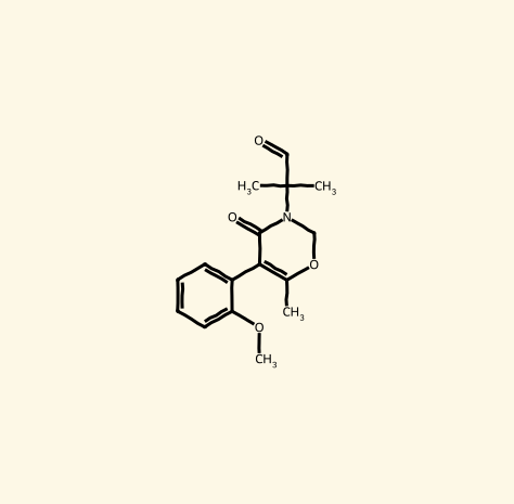 COc1ccccc1C1=C(C)OCN(C(C)(C)C=O)C1=O